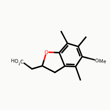 COc1c(C)c(C)c2c(c1C)CC(CC(=O)O)O2